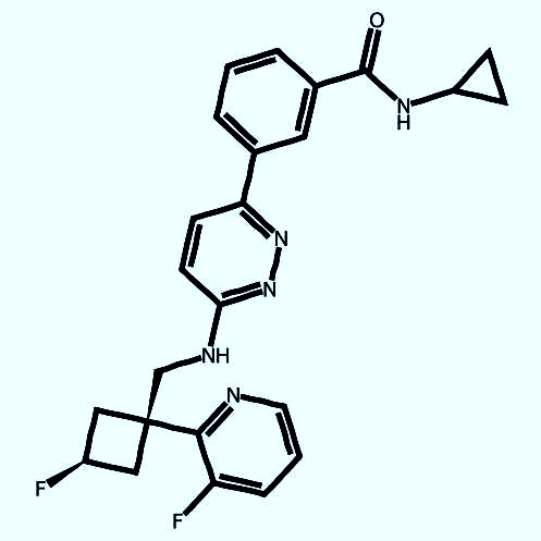 O=C(NC1CC1)c1cccc(-c2ccc(NC[C@]3(c4ncccc4F)C[C@H](F)C3)nn2)c1